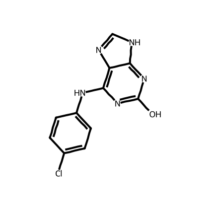 Oc1nc(Nc2ccc(Cl)cc2)c2nc[nH]c2n1